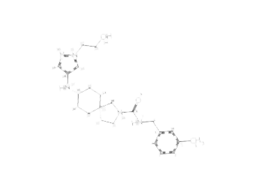 Cc1cccc(CNC(=O)N2CC[C@]3(CC[C@@H](Nc4cnn(CCO)c4)CC3)C2)c1